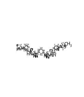 CC1(F)CN(c2cccc(CC(=O)Nc3nnc([C@H]4CCC[C@H](c5nnc(NC(=O)Cc6cccc(N7CC(F)(F)C7)n6)s5)C4)s3)n2)C1